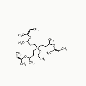 C/C=C(/C)OC(C)CC[Si](CCC(C)O/C(C)=C\C)(CCC(C)O/C(C)=C\C)OCC